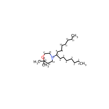 CCCCCCCC(CCCCCCC)N1CCOC(C)(C)CC1